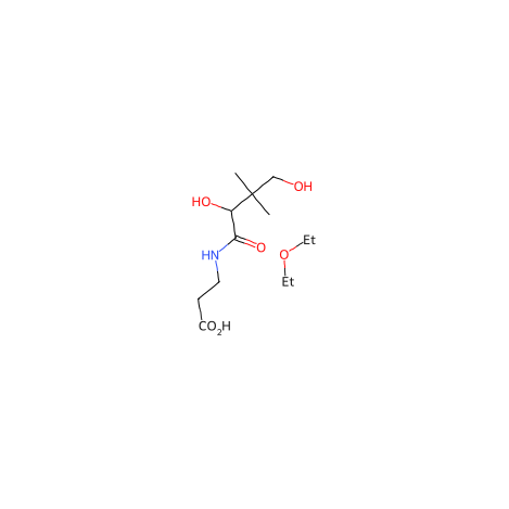 CC(C)(CO)C(O)C(=O)NCCC(=O)O.CCOCC